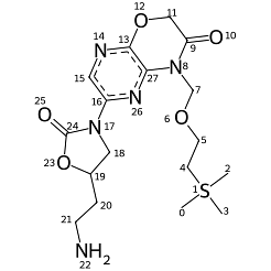 CS(C)(C)CCOCN1C(=O)COc2ncc(N3CC(CCN)OC3=O)nc21